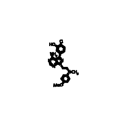 COc1ccc(N(C)CCn2nc(-c3ccc(Cl)c(O)c3)c3c(N)ncnc32)cc1